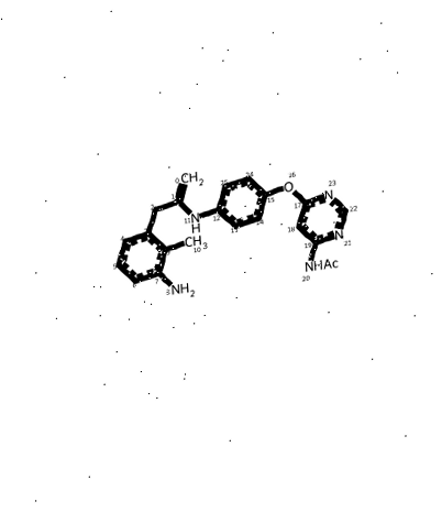 C=C(Cc1cccc(N)c1C)Nc1ccc(Oc2cc(NC(C)=O)ncn2)cc1